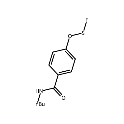 CCCCNC(=O)c1ccc(OSF)cc1